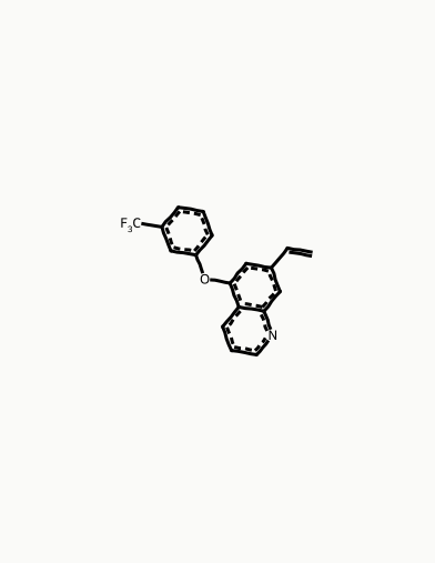 C=Cc1cc(Oc2cccc(C(F)(F)F)c2)c2cccnc2c1